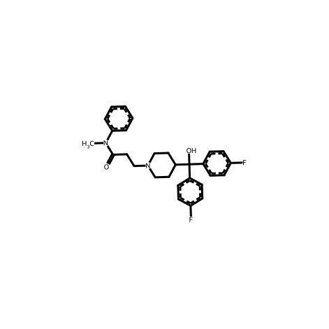 CN(C(=O)CCN1CCC(C(O)(c2ccc(F)cc2)c2ccc(F)cc2)CC1)c1ccccc1